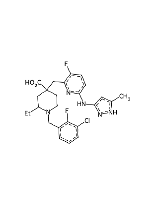 CCC1CC(Cc2nc(Nc3cc(C)[nH]n3)ccc2F)(C(=O)O)CCN1Cc1cccc(Cl)c1F